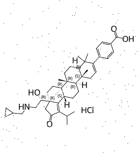 CC(C)C1=C2[C@H]3CC[C@@H]4[C@@]5(C)CC=C(c6ccc(C(=O)O)cc6)C(C)(C)[C@@H]5CC[C@@]4(C)[C@]3(C)CC[C@@]2([C@@H](O)CNCC2CC2)CC1=O.Cl